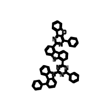 c1ccc(-c2nc(-c3cccc4c3sc3cccc(-c5nc(-c6ccccc6)c6oc7ccccc7c6n5)c34)nc(-n3c4ccccc4c4c(-c5ccccc5)cccc43)n2)cc1